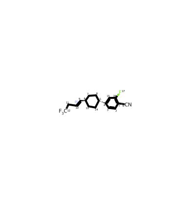 N#Cc1ccc([C@H]2CC[C@H](/C=C/CC(F)(F)F)CC2)cc1F